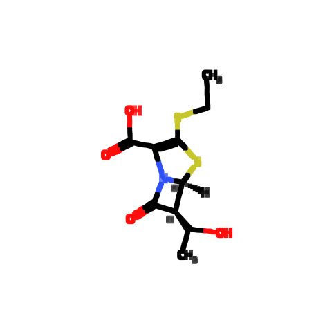 CCSC1=C(C(=O)O)N2C(=O)[C@H](C(C)O)[C@@H]2S1